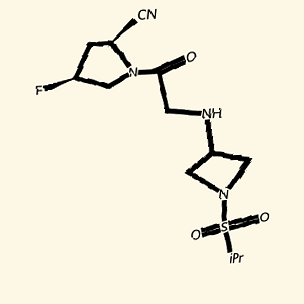 CC(C)S(=O)(=O)N1CC(NCC(=O)N2C[C@@H](F)C[C@H]2C#N)C1